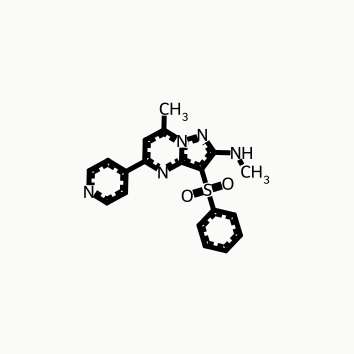 CNc1nn2c(C)cc(-c3ccncc3)nc2c1S(=O)(=O)c1ccccc1